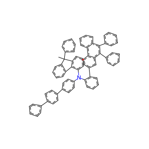 CC1(c2ccccc2)c2ccccc2-c2c(N(c3ccc(-c4ccc(-c5ccccc5)cc4)cc3)c3ccccc3-c3ccc4c(c3)c(-c3ccccc3)c(-c3ccccc3)c3ccccc34)cccc21